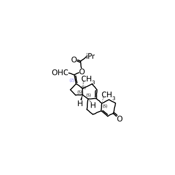 CC(C)C(=O)O/C(C=O)=C1/CC[C@H]2[C@@H]3CCC4=CC(=O)CC[C@]4(C)C3=CC[C@]12C